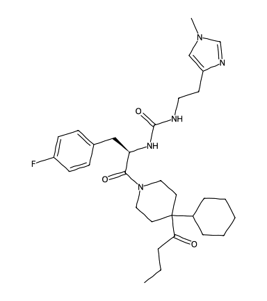 CCCC(=O)C1(C2CCCCC2)CCN(C(=O)[C@@H](Cc2ccc(F)cc2)NC(=O)NCCc2cn(C)cn2)CC1